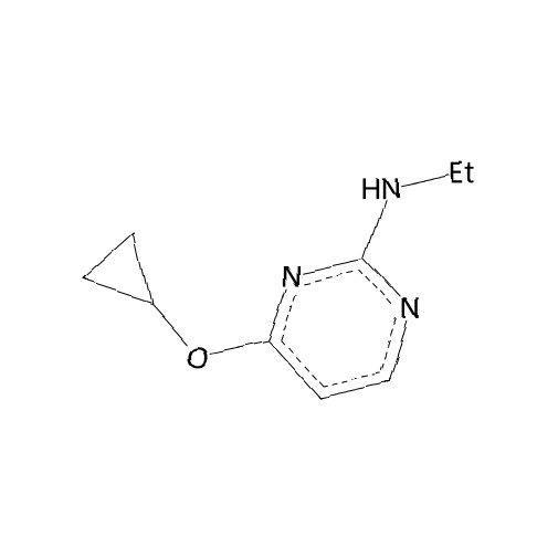 CCNc1nccc(OC2CC2)n1